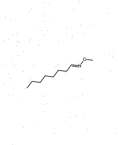 [CH2]CCCCCCC=NOC